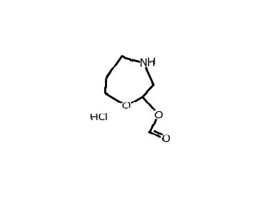 Cl.O=COC1CNCCCO1